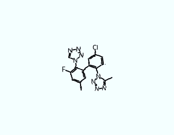 Cc1cc(F)c(-n2cnnn2)c(-c2cc(Cl)c[c]c2-n2nnnc2C)c1